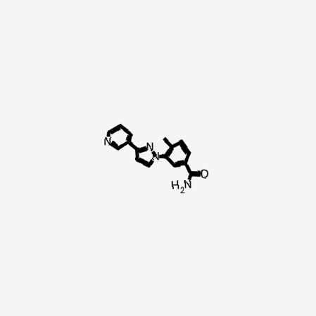 Cc1ccc(C(N)=O)cc1-n1ccc(-c2cccnc2)n1